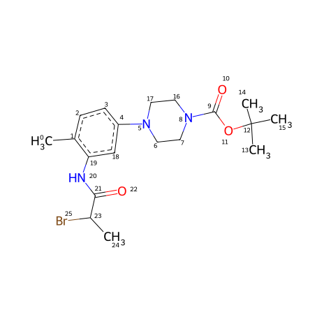 Cc1ccc(N2CCN(C(=O)OC(C)(C)C)CC2)cc1NC(=O)C(C)Br